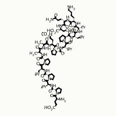 CC(C)C[C@H](NC(=O)[C@@H]1CCCN1C(=O)[C@@H](NC(=O)[C@@H]1CCCN1C(=O)[C@H](CCC(=O)O)NC(=O)[C@H](C)NC(=O)[C@H](C)NC(=O)[C@@H]1CCCN1C(=O)[C@H](CC(C)C)NC(=O)[C@@H]1CCCN1C(=O)[C@@H](NC(=O)[C@@H]1CCCN1C(=O)[C@@H](N)CCC(=O)O)C(C)C)C(C)C)C(=O)N[C@H](C(=O)N[C@@H](CCCCN)C(=O)N[C@@H](CCC(N)=O)C(=O)N[C@@H](CC(=O)O)C(=O)O)C(C)C